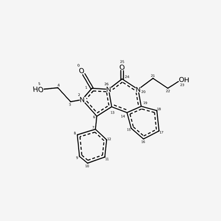 O=c1n(CCO)c(-c2ccccc2)c2c3ccccc3n(CCO)c(=O)n12